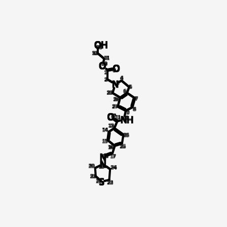 O=C(CN1CCc2ccc(NC(=O)c3ccc(C=NN4CCSCC4)cc3)cc2C1)OCCO